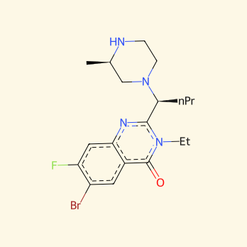 CCC[C@@H](c1nc2cc(F)c(Br)cc2c(=O)n1CC)N1CCN[C@H](C)C1